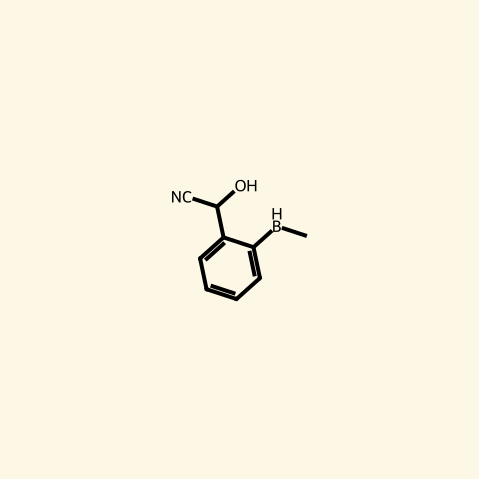 CBc1ccccc1C(O)C#N